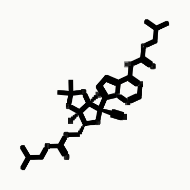 CC(C)COC(=O)Nc1ncnn2c([C@]3(C#N)O[C@H](COC(=O)OCC(C)C)[C@H]4OC(C)(C)O[C@H]43)ccc12